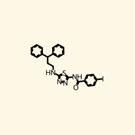 O=C(Nc1nnc(NCCC(c2ccccc2)c2ccccc2)s1)c1ccc(I)cc1